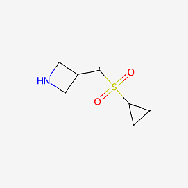 O=S(=O)([CH]C1CNC1)C1CC1